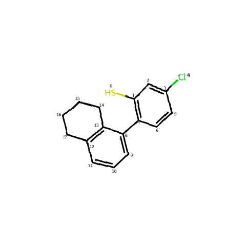 Sc1cc(Cl)ccc1-c1cccc2c1CCCC2